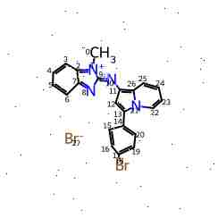 C[N+]1=c2ccccc2=N/C1=N\c1cc(-c2ccc(Br)cc2)n2ccccc12.[Br-]